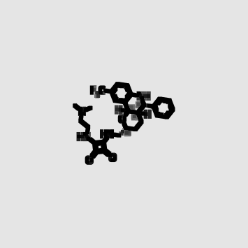 CN(C)CCNc1c(NC[C@H]2CC[C@@H]3[C@H](O2)c2cc(C(F)(F)F)ccc2N[C@H]3c2ccccc2)c(=O)c1=O